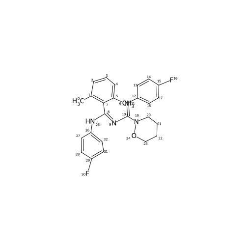 Cc1cccc(C)c1/C(=N\C(=N\c1ccc(F)cc1)N1CCCCO1)Nc1ccc(F)cc1